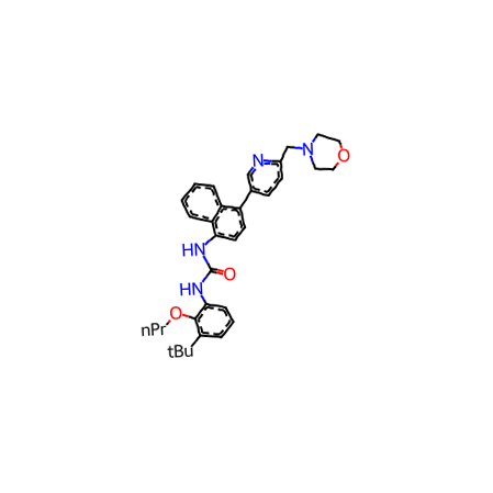 CCCOc1c(NC(=O)Nc2ccc(-c3ccc(CN4CCOCC4)nc3)c3ccccc23)cccc1C(C)(C)C